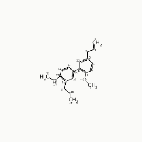 C=CCc1ccc(OC)c(-c2ccc(OC)c(CCC)c2)c1